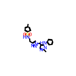 Cc1ccc(S(=O)(=O)NCCc2cn(Cc3cnc(C)nc3Nc3ccccc3)nn2)cc1